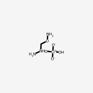 NNCON.[O-][Cl+3]([O-])([O-])O